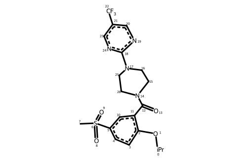 CC(C)Oc1ccc(S(C)(=O)=O)cc1C(=O)N1CCN(c2ncc(C(F)(F)F)cn2)CC1